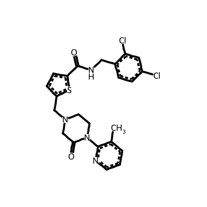 Cc1cccnc1N1CCN(Cc2ccc(C(=O)NCc3ccc(Cl)cc3Cl)s2)CC1=O